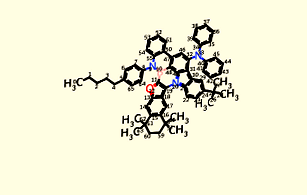 CCCCCc1ccc(N2B3c4oc5cc6c(cc5c4-n4c5ccc(C(C)(C)C)cc5c5c(N(c7ccccc7)c7ccccc7)cc(c3c54)-c3ccccc32)C(C)(C)CCC6(C)C)cc1